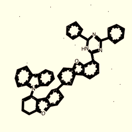 C1=C(n2c3ccccc3c3ccccc32)c2c(oc3ccc(-c4ccc5oc6c(C7=NC(c8ccccc8)=NC(c8ccccc8)N7)cccc6c5c4)cc23)CC1